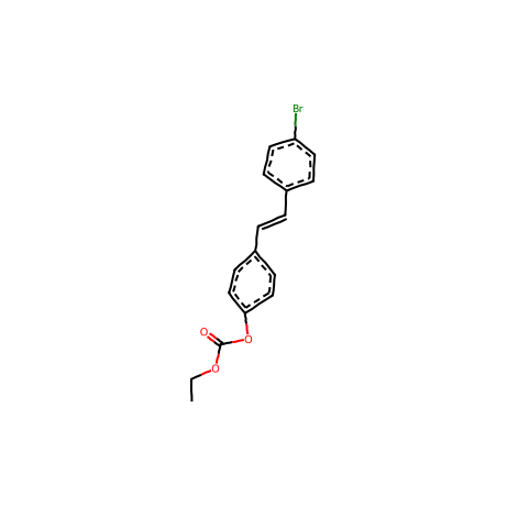 CCOC(=O)Oc1ccc(C=Cc2ccc(Br)cc2)cc1